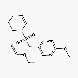 CCOC=O.COc1ccc(CS(=O)(=O)C2C=CCCC2)cc1